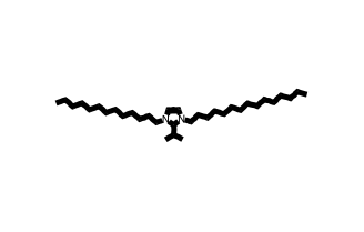 CCCCCCCCCCCCCCCN1C=CN(CCCCCCCCCCCCC)C1C(C)C